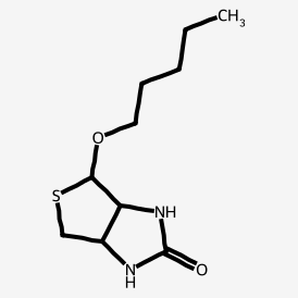 CCCCCOC1SCC2NC(=O)NC21